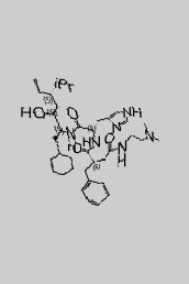 C=C[C@@H](C[C@H](O)[C@H](CC1CCCCC1)NC(=O)[C@H](Cc1c[nH]cn1)NC(=O)[C@@H](CC(=O)NCCN(C)C)Cc1ccccc1)C(C)C